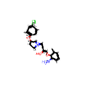 Cc1cccc(N)c1OCC(O)CN1CCC(Oc2ccc(Cl)cc2)C1